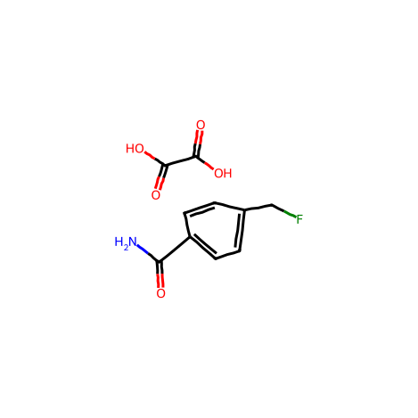 NC(=O)c1ccc(CF)cc1.O=C(O)C(=O)O